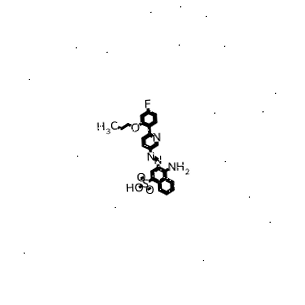 CCCOc1cc(F)ccc1-c1ccc(/N=N/c2cc(S(=O)(=O)O)c3ccccc3c2N)cn1